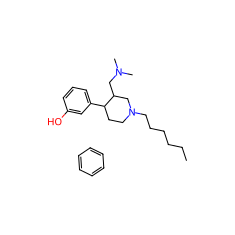 CCCCCCN1CCC(c2cccc(O)c2)C(CN(C)C)C1.c1ccccc1